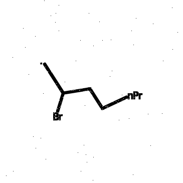 [CH2]C(Br)CCCCC